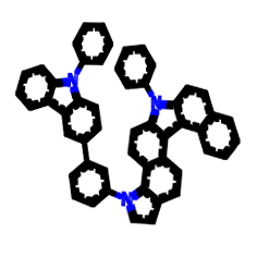 c1ccc(-n2c3ccccc3c3cc(-c4cccc(-n5ccc6ccc7c(ccc8c7c7c9ccccc9ccc7n8-c7ccccc7)c65)c4)ccc32)cc1